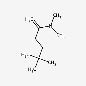 C=C(CCC(C)(C)C)N(C)C